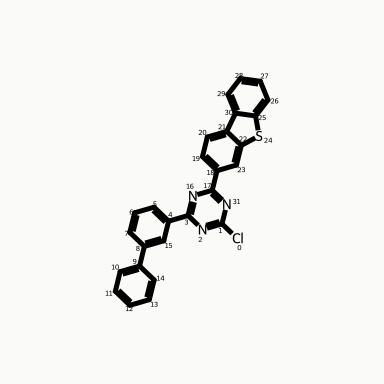 Clc1nc(-c2cccc(-c3ccccc3)c2)nc(-c2ccc3c(c2)sc2ccccc23)n1